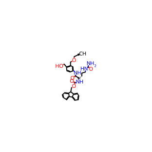 C#CCOCc1cc(NC(=O)[C@H](CCCNC(N)=O)NC(=O)OCC2c3ccccc3-c3ccccc32)ccc1CO